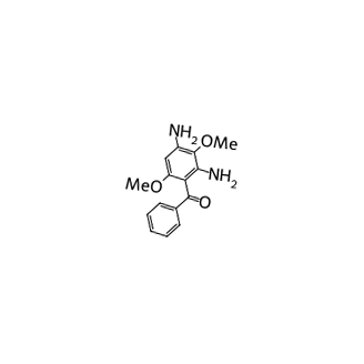 COc1cc(N)c(OC)c(N)c1C(=O)c1ccccc1